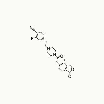 Cc1c(CC(=O)N2CCN(CCc3ccc(C#N)c(F)c3)CC2)ccc2c1COC2=O